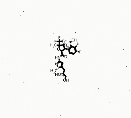 COc1c(C2C(C(=O)Nc3cc(C[C@H](O)CO)n(C)n3)OC(C)(C(F)(F)F)C2C)ccc(F)c1F